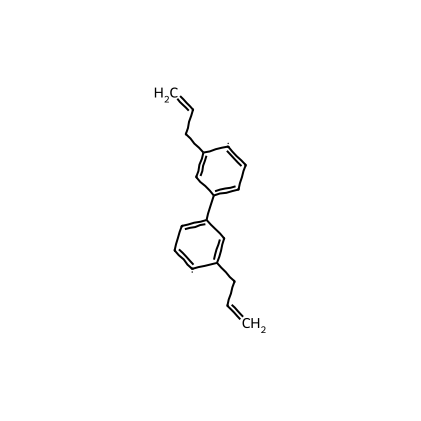 C=CCc1[c]ccc(-c2cc[c]c(CC=C)c2)c1